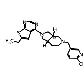 FC(F)(F)Cc1cc2c(N3C[C@H]4CCN(Cc5ccc(Cl)nc5)C[C@H]4C3)ncnc2s1